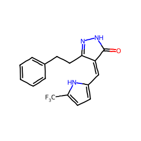 O=C1NN=C(CCc2ccccc2)C1=Cc1ccc(C(F)(F)F)[nH]1